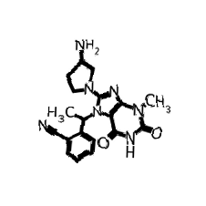 CC(c1ccccc1C#N)n1c(N2CCC(N)C2)nc2c1c(=O)[nH]c(=O)n2C